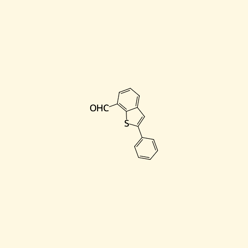 O=Cc1cccc2cc(-c3ccccc3)sc12